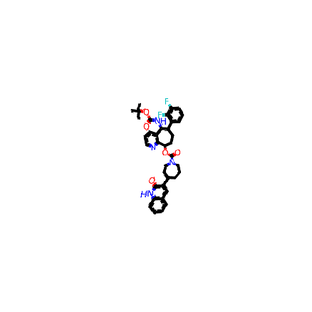 CC(C)(C)OC(=O)NC1c2cccnc2C(OC(=O)N2CCCC(c3cc4ccccc4[nH]c3=O)CC2)CCC1c1cccc(F)c1F